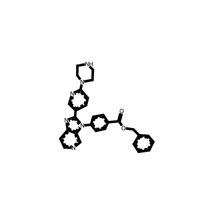 O=C(OCc1ccccc1)c1ccc(-n2c(-c3ccc(N4CCNCC4)nc3)nc3ccncc32)cc1